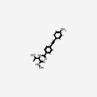 CC(O)C(NC(=O)c1ccc(C#CC2C=CC(N)=CC2)cc1)C(=O)NO